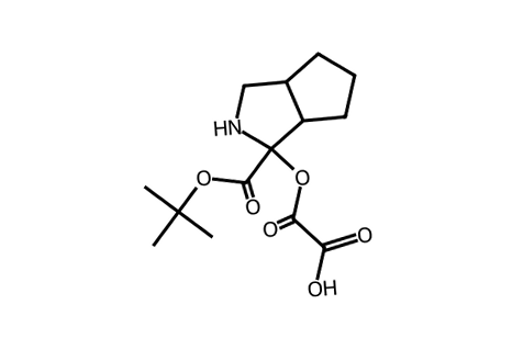 CC(C)(C)OC(=O)C1(OC(=O)C(=O)O)NCC2CCCC21